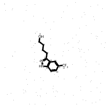 OCCCCc1n[nH]c2ccc(C(F)(F)F)cc12